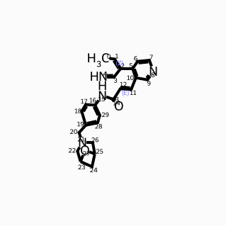 C/C=C(\C=N)c1ccncc1/C=C/C(=O)Nc1ccc(CN2CC3CC(C2)O3)cc1